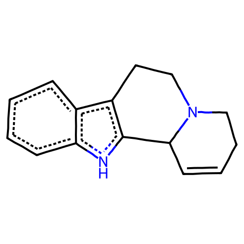 C1=CC2c3[nH]c4ccccc4c3CCN2CC1